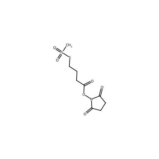 CS(=O)(=O)SCCCC(=O)ON1C(=O)CCC1=O